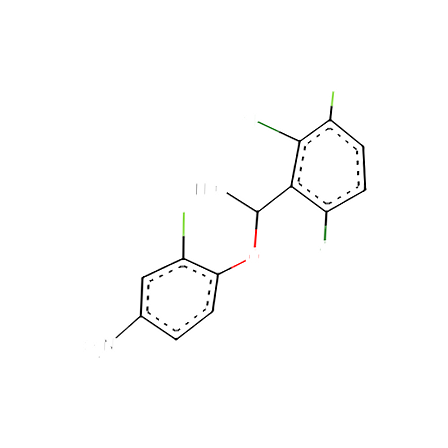 CC(Oc1ccc([N+](=O)[O-])cc1F)c1c(Cl)ccc(F)c1Cl